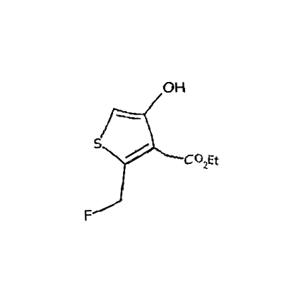 CCOC(=O)c1c(O)csc1CF